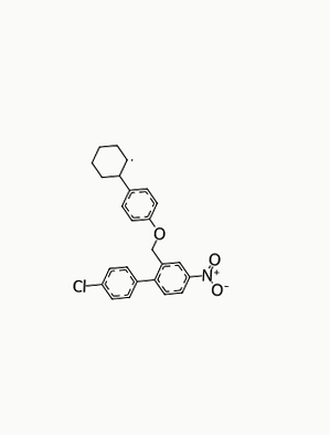 O=[N+]([O-])c1ccc(-c2ccc(Cl)cc2)c(COc2ccc(C3[CH]CCCC3)cc2)c1